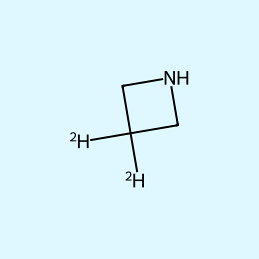 [2H]C1([2H])CNC1